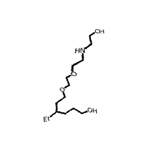 CCC(CCCO)CCOCCOCCNCCO